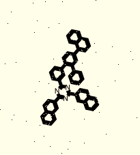 c1ccc(-c2cc(-c3cccc4ccccc34)ccc2-c2cccc(-c3nc(-c4ccc5ccccc5c4)nc(-c4ccc5ccccc5c4)n3)c2)cc1